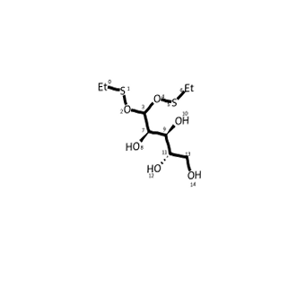 CCSOC(OSCC)[C@H](O)[C@@H](O)[C@@H](O)CO